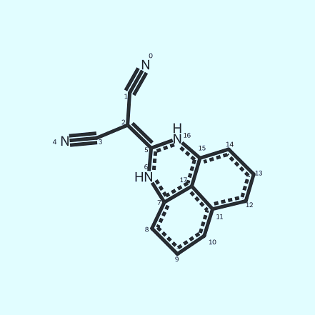 N#CC(C#N)=c1[nH]c2cccc3cccc([nH]1)c32